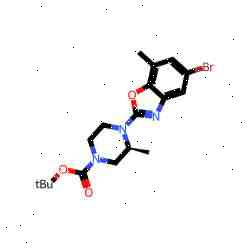 Cc1cc(Br)cc2nc(N3CCN(C(=O)OC(C)(C)C)C[C@@H]3C)oc12